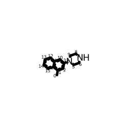 Cc1cc(N2CCNCC2)cc2ccccc12